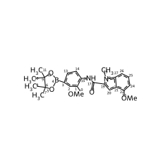 COc1cc(B2OC(C)(C)C(C)(C)O2)ccc1NC(=O)c1cc2c(OC)cccc2n1C